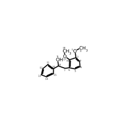 COc1cccc(CC(O)c2ccccc2)c1OC